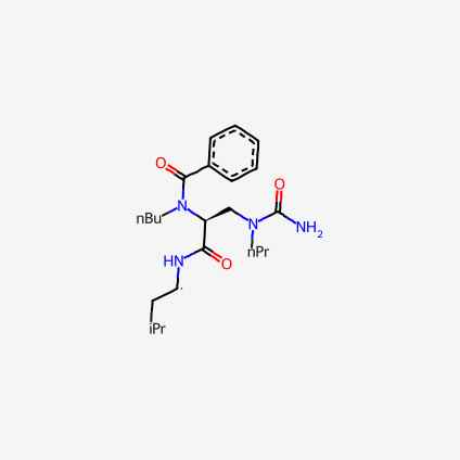 CCCCN(C(=O)c1ccccc1)[C@@H](CN(CCC)C(N)=O)C(=O)N[CH]CC(C)C